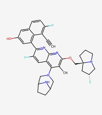 C#Cc1c(F)ccc2cc(O)cc(-c3nc4nc(OC[C@@]56CCCN5C[C@H](F)C6)c(C#N)c(N5CC6CCC(C5)N6)c4cc3F)c12